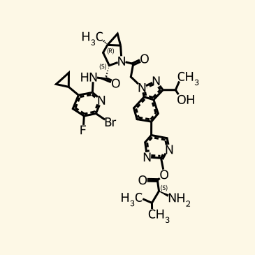 CC(O)c1nn(CC(=O)N2C3C[C@]3(C)C[C@H]2C(=O)Nc2nc(Br)c(F)cc2C2CC2)c2ccc(-c3cnc(OC(=O)[C@@H](N)C(C)C)nc3)cc12